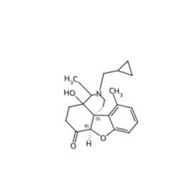 Cc1cccc2c1[C@]13CCN(CC4CC4)C(C)C1(O)CCC(=O)[C@@H]3O2